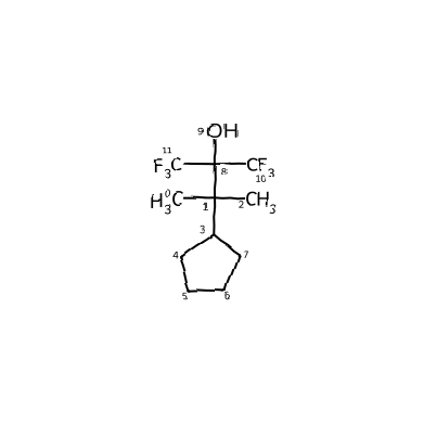 CC(C)(C1CCCC1)C(O)(C(F)(F)F)C(F)(F)F